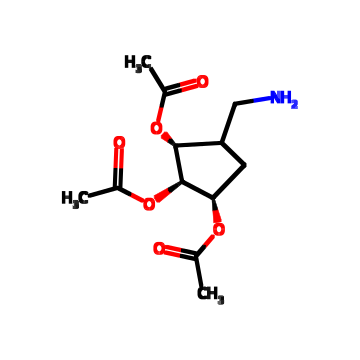 CC(=O)O[C@@H]1[C@H](OC(C)=O)CC(CN)[C@@H]1OC(C)=O